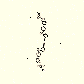 CC(C)(C)OC(=O)NCc1cccc(C2CCN(C(=O)c3cccc(C#CC#Cc4cccc(C(=O)N5CCC(c6cccc(CNC(=O)OC(C)(C)C)c6)CC5)c4)c3)CC2)c1